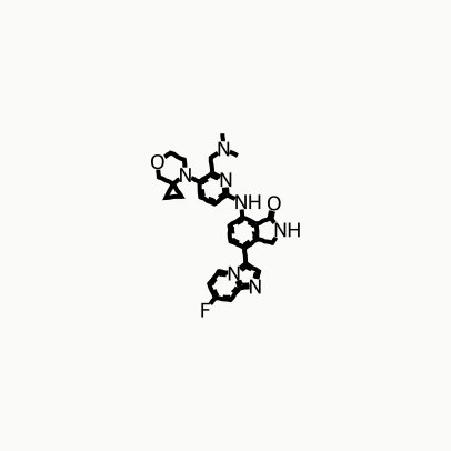 CN(C)Cc1nc(Nc2ccc(-c3cnc4cc(F)ccn34)c3c2C(=O)NC3)ccc1N1CCOCC12CC2